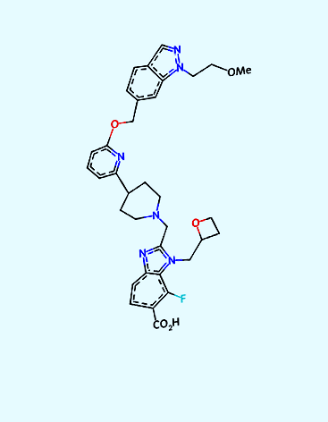 COCCn1ncc2ccc(COc3cccc(C4CCN(Cc5nc6ccc(C(=O)O)c(F)c6n5CC5CCO5)CC4)n3)cc21